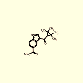 COC(=O)c1ccc2[nH]cc(C(=O)C3C(C)(C)C3(C)C)c2c1